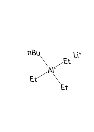 CCC[CH2][Al-]([CH2]C)([CH2]C)[CH2]C.[Li+]